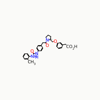 Cc1ccccc1NC(=O)Nc1ccc(CC(=O)N2CCC[C@H]2COc2cccc(CC(=O)O)c2)cc1